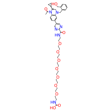 CC(=O)N1c2ccc(-c3cnc(C(=O)NCCOCCOCCOCCOCCOCCOCCOCCNC(=O)O)nc3)cc2N(Cc2ccccc2CO)C[C@@H]1C1CC1